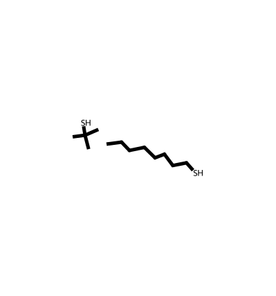 CC(C)(C)S.CCCCCCCCS